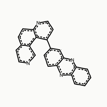 [c]1c(-c2ccnc3ccc4ccncc4c23)ccc2nc3ccccc3nc12